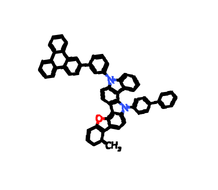 CC1CC=Cc2oc3c(ccc4c3c3ccc5c(c6ccccc6n5-c5cccc(-c6ccc7c8ccccc8c8ccccc8c7c6)c5)c3n4-c3ccc(-c4ccccc4)cc3)c21